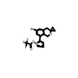 O=C(On1cccc1-c1cc(Br)cc2c1COC1(CC1)C2)C(F)(F)F